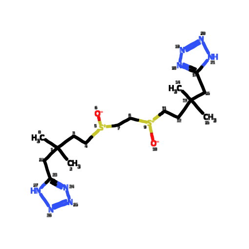 CC(C)(CC[S+]([O-])CC[S+]([O-])CCC(C)(C)Cc1nnn[nH]1)Cc1nnn[nH]1